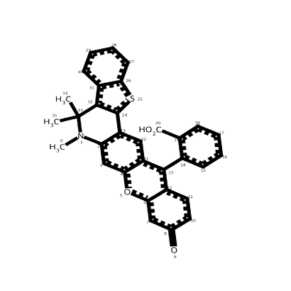 CN1c2cc3oc4cc(=O)ccc-4c(-c4ccccc4C(=O)O)c3cc2-c2sc3ccccc3c2C1(C)C